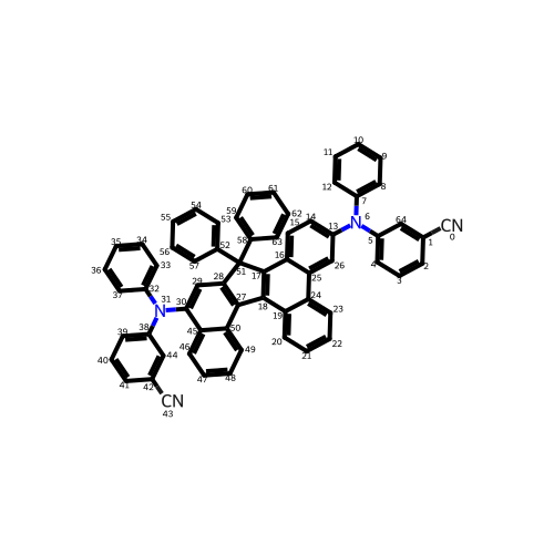 N#Cc1cccc(N(c2ccccc2)c2ccc3c4c(c5ccccc5c3c2)-c2c(cc(N(c3ccccc3)c3cccc(C#N)c3)c3ccccc23)C4(c2ccccc2)c2ccccc2)c1